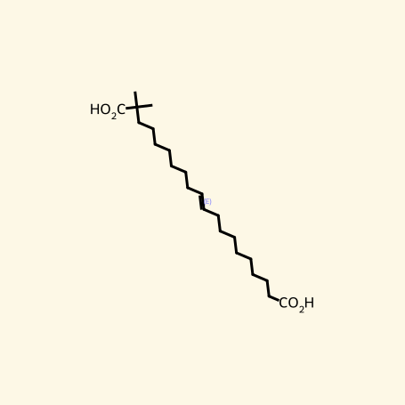 CC(C)(CCCCCCC/C=C/CCCCCCCCC(=O)O)C(=O)O